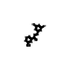 O=C(C=Cc1cc(F)cc(F)c1)c1cccc(O)c1